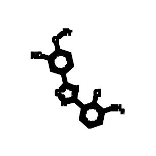 Bc1cccc(-c2noc(-c3ccc(OC(C)C)c(C#N)c3)n2)c1Cl